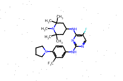 CN1C(C)(C)CC(Nc2nc(Nc3ccc(N4CCCC4)c(C(F)(F)F)c3)ncc2F)CC1(C)C